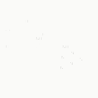 COc1cc(NC(=O)c2ccc(Nc3nc(N4CCCCC4)nc(N4CCCCC4)n3)cc2O)cc(OC)c1OC